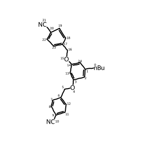 CCCCc1cc(OCc2ccc(C#N)cc2)cc(OCc2ccc(C#N)cc2)c1